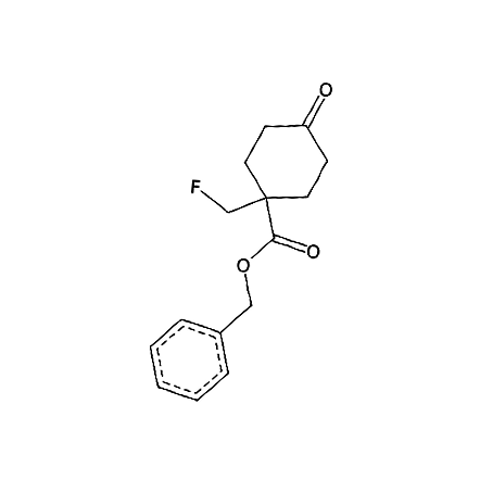 O=C1CCC(CF)(C(=O)OCc2ccccc2)CC1